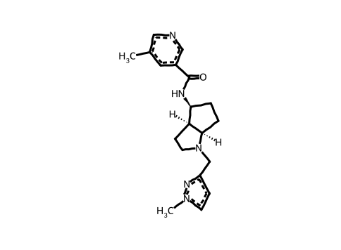 Cc1cncc(C(=O)N[C@H]2CC[C@@H]3[C@H]2CCN3Cc2ccn(C)n2)c1